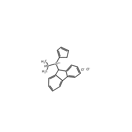 C[SiH](C)[Zr+2]([C]1=CC=CC1)[CH]1c2ccccc2-c2ccccc21.[Cl-].[Cl-]